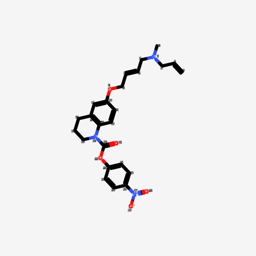 C=CCN(C)CC=CCOc1ccc2c(c1)CCCN2C(=O)Oc1ccc([N+](=O)[O-])cc1